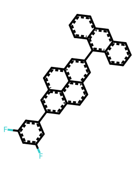 Fc1cc(F)cc(-c2cc3ccc4cc(-c5c6ccccc6cc6ccccc56)cc5ccc(c2)c3c45)c1